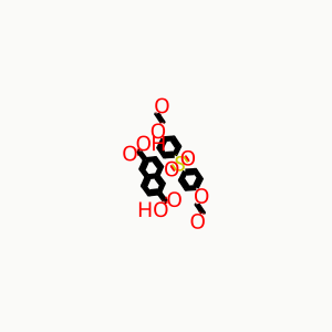 O=C(O)c1ccc2cc(C(=O)O)ccc2c1.O=CCOc1ccc(S(=O)(=O)c2ccc(OCC=O)cc2)cc1